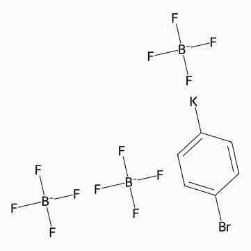 F[B-](F)(F)F.F[B-](F)(F)F.F[B-](F)(F)F.[K][c]1ccc(Br)cc1